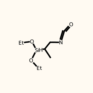 CCO[SiH](OCC)C(C)CN=C=O